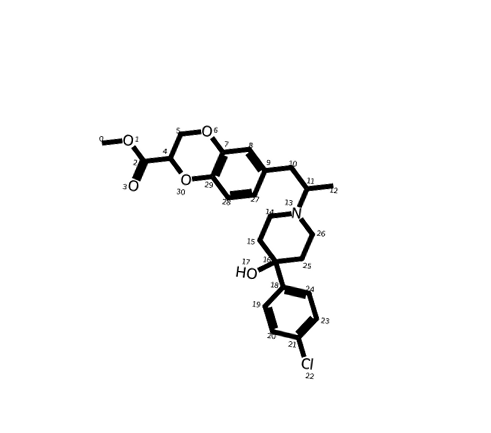 COC(=O)C1COc2cc(CC(C)N3CCC(O)(c4ccc(Cl)cc4)CC3)ccc2O1